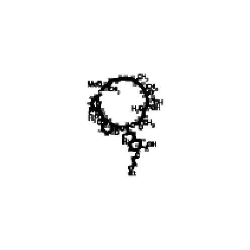 CCOCCO[C@@H]1CCC(C[C@@H](C)[C@@H]2CC(=O)[C@H](C)/C=C(\C)[C@@H](O)[C@@H](CO)C(=O)[C@H](C)C[C@H](C)/C=C/C=C/C=C(\C)[C@@H](OC)C[C@@H]3CC[C@@H](C)[C@@](O)(O3)C(=O)C(=O)N3CCCC[C@H]3C(=O)O2)C[C@H]1CO